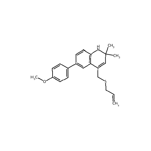 C=CCSCC1=CC(C)(C)Nc2ccc(-c3ccc(OC)cc3)cc21